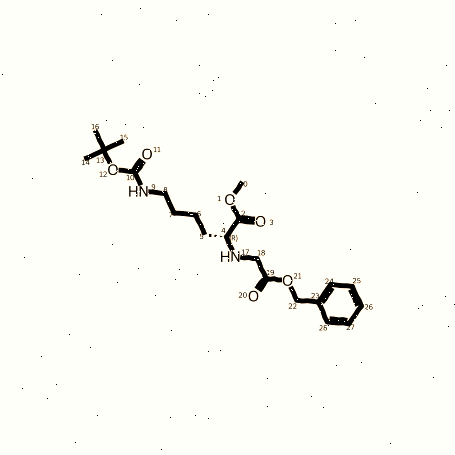 COC(=O)[C@@H](CCCCNC(=O)OC(C)(C)C)NCC(=O)OCc1ccccc1